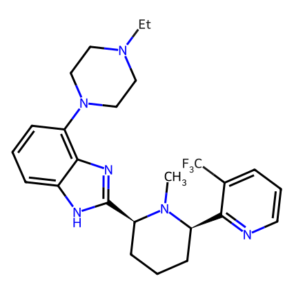 CCN1CCN(c2cccc3[nH]c([C@@H]4CCC[C@H](c5ncccc5C(F)(F)F)N4C)nc23)CC1